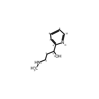 CNCCC(O)c1ccccn1